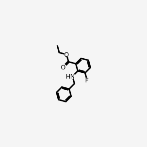 CCOC(=O)c1cccc(F)c1NCc1ccccc1